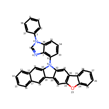 c1ccc(-n2cnc3c(-n4c5cc6ccccc6cc5c5cc6oc7ccccc7c6cc54)cccc32)cc1